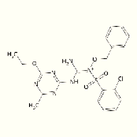 CCOc1nc(C)nc(NC(N)=[N+](OCc2ccccc2)S(=O)(=O)c2ccccc2Cl)n1